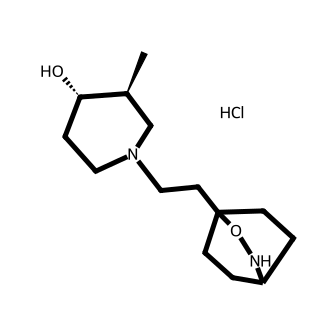 C[C@H]1CN(CCC23CCC(CC2)NO3)CC[C@@H]1O.Cl